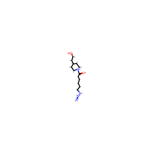 [N-]=[N+]=NCCCCCC(=O)N1CCC(CCO)CC1